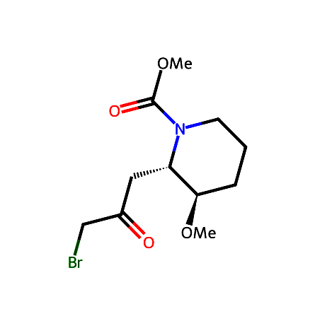 COC(=O)N1CCC[C@@H](OC)[C@@H]1CC(=O)CBr